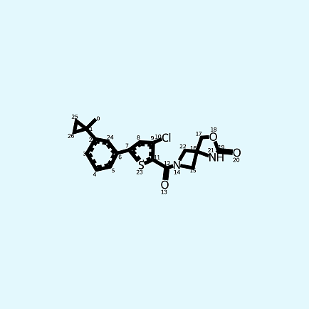 CC1(c2cccc(-c3cc(Cl)c(C(=O)N4CC5(COC(=O)N5)C4)s3)c2)CC1